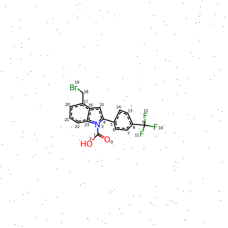 O=C(O)n1c(-c2ccc(C(F)(F)F)cc2)cc2c(CBr)cccc21